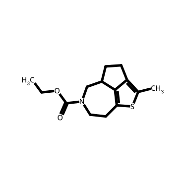 CCOC(=O)N1CCc2sc(C)c3c2C(CC3)C1